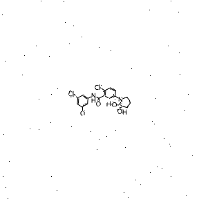 O=C(Nc1cc(Cl)cc(Cl)c1)c1cc(N2CCCS2(O)O)ccc1Cl